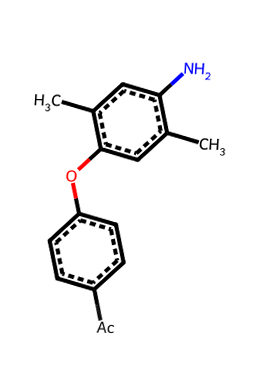 CC(=O)c1ccc(Oc2cc(C)c(N)cc2C)cc1